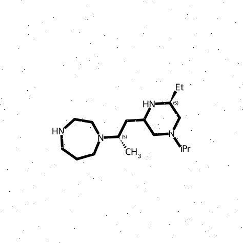 CC[C@H]1CN(C(C)C)CC(C[C@H](C)N2CCCNCC2)N1